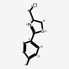 Cc1ccc(C2=NC(CCl)CS2)cc1